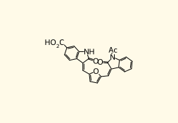 CC(=O)N1C(=O)C(=Cc2ccc(C=C3C(=O)Nc4cc(C(=O)O)ccc43)o2)c2ccccc21